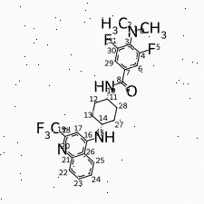 CN(C)c1c(F)cc(C(=O)N[C@H]2CC[C@@H](Nc3cc(C(F)(F)F)nc4ccccc34)CC2)cc1F